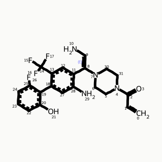 C=CC(=O)N1CCN(/C(=C/N)c2cc(C(F)(F)F)c(-c3c(O)cccc3F)cc2N)CC1